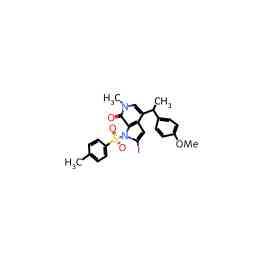 COc1ccc(C(C)c2cn(C)c(=O)c3c2cc(I)n3S(=O)(=O)c2ccc(C)cc2)cc1